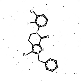 O=C1c2nn(Cc3ccccc3)c(Br)c2CCN1c1cccc(Cl)c1F